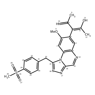 COc1cc2c(cc1/C(C(C)=N)=C(\C)O)ncc1nnc(Cc3ccc(S(C)(=O)=O)cc3)n12